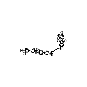 N#Cc1ccc(N2CCC(C(=O)Nc3ccc(N4CCN(C(=O)CCCCCNc5ccc6c(c5)C(=O)N(C5CCC(=O)NC5=O)C6=O)CC4)cn3)CC2)cc1Cl